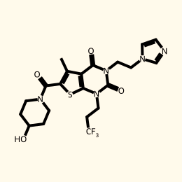 Cc1c(C(=O)N2CCC(O)CC2)sc2c1c(=O)n(CCn1ccnc1)c(=O)n2CCC(F)(F)F